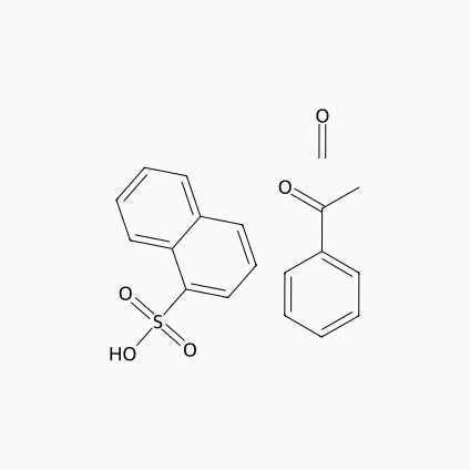 C=O.CC(=O)c1ccccc1.O=S(=O)(O)c1cccc2ccccc12